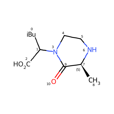 CCC(C)C(C(=O)O)N1CCN[C@@H](C)C1=O